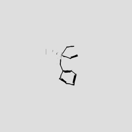 C=C[Si](O)(CC)Cc1ccccc1